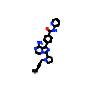 CC#CCN1CCCC1c1nc(-c2ccc(C(=O)Nc3ccccn3)cc2)c2c(N)nccn12